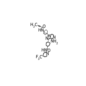 CC#CC(=O)NC12CCC(c3nc(-c4ccc(C(=O)Nc5cc(C(F)(F)F)ccn5)cc4)c4c(N)nccn34)(CC1)C2